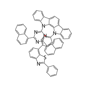 c1ccc(-c2nc3cccc(-c4ccc(-n5c6ccccc6c6ccc7c8ccccc8n(-c8nc(-c9cccc%10ccccc9%10)nc(-c9cccc%10ccccc9%10)n8)c7c65)cc4)c3s2)cc1